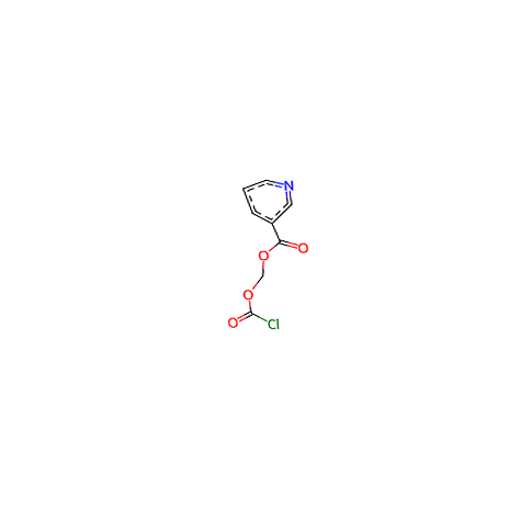 O=C(Cl)OCOC(=O)c1cccnc1